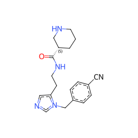 N#Cc1ccc(Cn2cncc2CCNC(=O)[C@H]2CCCNC2)cc1